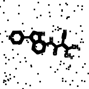 CC(C)=C(C#N)C(=O)Nc1cccc2c(-c3ccncc3)c[nH]c12